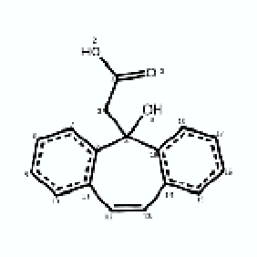 O=C(O)CC1(O)c2ccccc2C=Cc2ccccc21